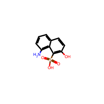 Nc1cccc2ccc(O)c(S(=O)(=O)O)c12